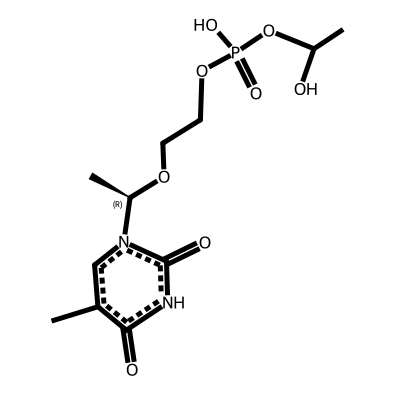 Cc1cn([C@@H](C)OCCOP(=O)(O)OC(C)O)c(=O)[nH]c1=O